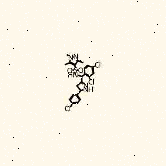 Cc1nn(C)c(C)c1S(=O)(=O)NC(C1=NNC(c2ccc(Cl)cc2)C1)c1ccc(Cl)cc1Cl